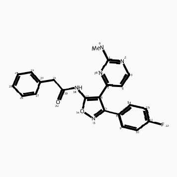 CNc1nccc(-c2c(-c3ccc(F)cc3)noc2NC(=O)Cc2ccccc2)n1